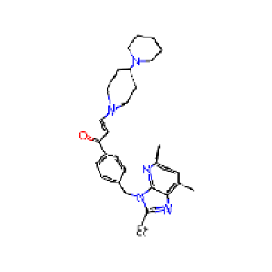 CCc1nc2c(C)cc(C)nc2n1Cc1ccc(C(=O)/C=C/N2CCC(N3CCCCC3)CC2)cc1